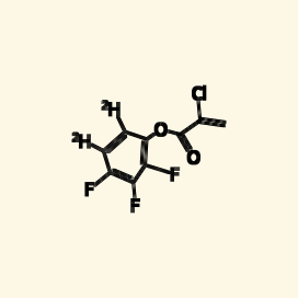 [2H]c1c([2H])c(OC(=O)C(=C)Cl)c(F)c(F)c1F